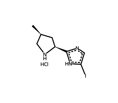 C[C@@H]1CN[C@H](c2ncc(I)[nH]2)C1.Cl